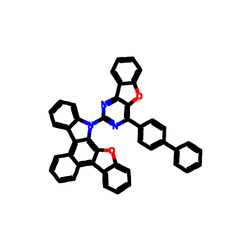 c1ccc(-c2ccc(-c3nc(-n4c5ccccc5c5c6ccccc6c6c7ccccc7oc6c54)nc4c3oc3ccccc34)cc2)cc1